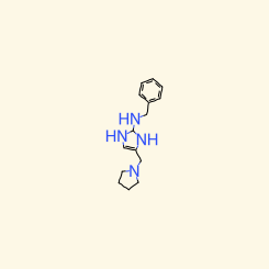 C1=C(CN2CCCC2)NC(NCc2ccccc2)N1